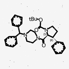 CC(C)(C)OC(=O)N1CC[C@H](c2ccccc2)[C@H]1C(=O)N1CCN(C(c2ccccc2)c2ccccc2)CC1